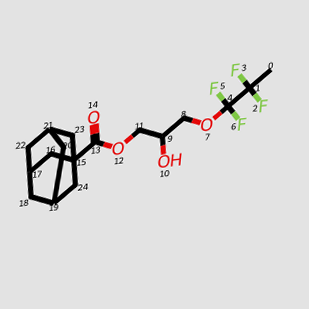 CC(F)(F)C(F)(F)OCC(O)COC(=O)C12CC3CC(CC(C3)C1)C2